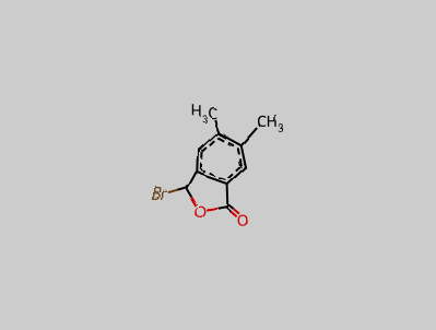 Cc1cc2c(cc1C)C(Br)OC2=O